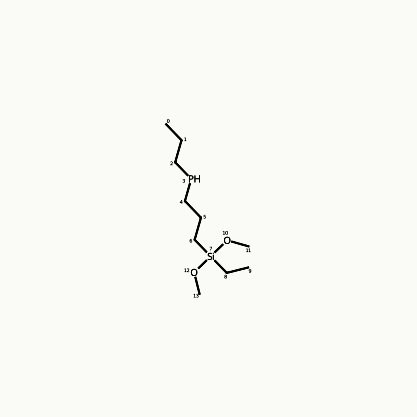 CCCPCCC[Si](CC)(OC)OC